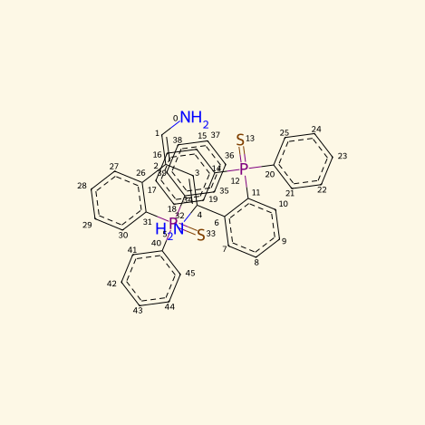 N/C=C(\C=C(/N)c1ccccc1P(=S)(c1ccccc1)c1ccccc1)c1ccccc1P(=S)(c1ccccc1)c1ccccc1